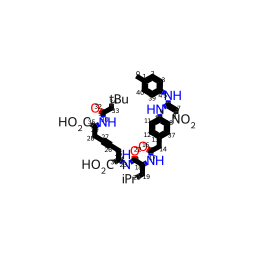 Cc1ccc(NC(=C[N+](=O)[O-])Nc2ccc(CC(=O)NC(CC(C)C)C(=O)NC(CC#CCC(NC(=O)CC(C)(C)C)C(=O)O)C(=O)O)cc2)cc1